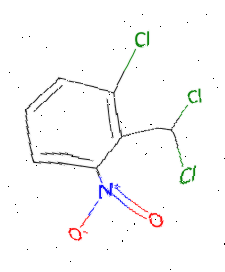 O=[N+]([O-])c1cccc(Cl)c1C(Cl)Cl